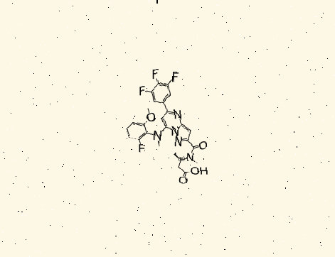 COc1cccc(F)c1N(C)c1cc(-c2cc(F)c(F)c(F)c2)nc2cc(C(=O)N(C)[C@H](C)CC(=O)O)nn12